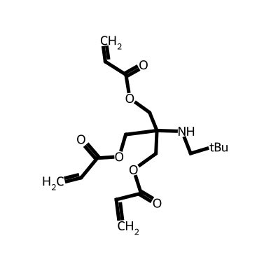 C=CC(=O)OCC(COC(=O)C=C)(COC(=O)C=C)NCC(C)(C)C